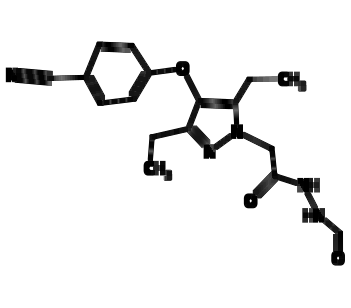 CCc1nn(CC(=O)NNC=O)c(CC)c1Oc1ccc(C#N)cc1